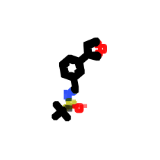 CC(C)(C)[S@@+]([O-])N=Cc1cccc(-c2ccoc2)c1